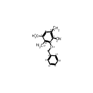 Cc1cc(C)c(O)c(OCc2ccccc2)c1C